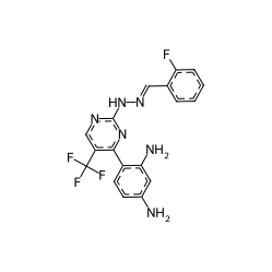 Nc1ccc(-c2nc(NN=Cc3ccccc3F)ncc2C(F)(F)F)c(N)c1